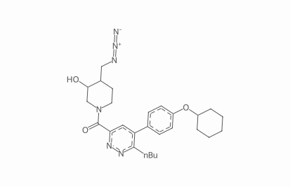 CCCCc1nnc(C(=O)N2CCC(CN=[N+]=[N-])C(O)C2)cc1-c1ccc(OC2CCCCC2)cc1